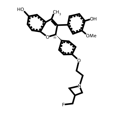 COc1cc(C2=C(C)c3cc(O)ccc3O[C@H]2c2ccc(OCCN3CC(CF)C3)cc2)ccc1O